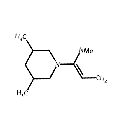 C/C=C(\NC)N1CC(C)CC(C)C1